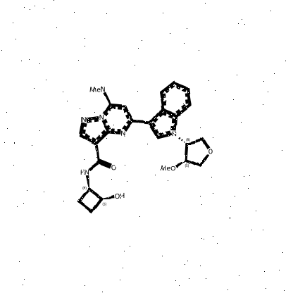 CNc1cc(-c2cn([C@@H]3COC[C@H]3OC)c3ccccc23)nc2c(C(=O)N[C@@H]3CC[C@@H]3O)cnn12